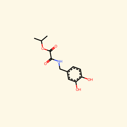 CC(C)OC(=O)C(=O)NCc1ccc(O)c(O)c1